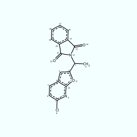 CC(c1cc2ccc(Cl)nc2o1)N1C(=O)c2ccccc2C1=O